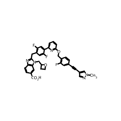 Cn1cc(C#Cc2ccc(COc3cccc(-c4cc(F)c(Cc5nc6ccc(C(=O)O)cc6n5CC5CCO5)cc4F)n3)c(F)c2)cn1